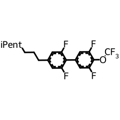 CCCC(C)CCCc1cc(F)c(-c2cc(F)c(OC(F)(F)F)c(F)c2)c(F)c1